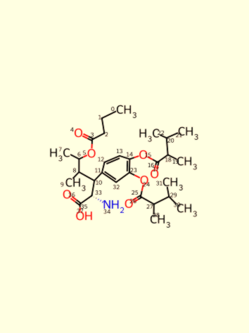 CCCC(=O)OC(C)C(C)C(c1ccc(OC(=O)C(C)C(C)C)c(OC(=O)C(C)C(C)C)c1)[C@H](N)C(=O)O